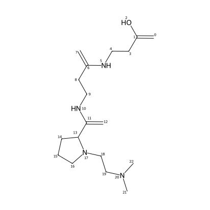 C=C(O)CCNC(=C)CCNC(=C)C1CCCN1CCN(C)C